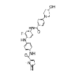 CN1NCC=C1C(=O)Nc1ccc(Nc2ccc(NC(=O)c3ccc(N4CCC(O)CC4)cc3)cc2F)cc1